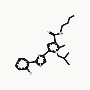 CCCCNC(=O)c1cc(-c2csc(-c3ccccc3Cl)n2)n(CC(C)C)c1C